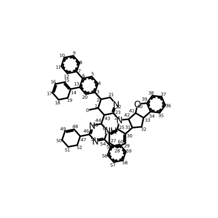 CC1C(c2ccc(-c3ccccc3)c(C3=CC=CCC3)c2)CN=C(N2C3=CCCC=C3C3CC4c5ccccc5OC4C32)C1C1N=C(C2C=CCCC2)N=C(c2ccccc2)N1